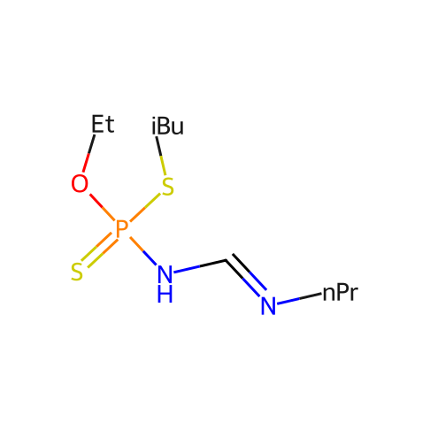 CCCN=CNP(=S)(OCC)SC(C)CC